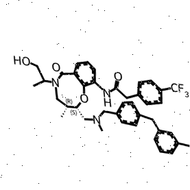 Cc1cccc(Cc2ccc(CN(C)C[C@H]3Oc4c(NC(=O)Cc5ccc(C(F)(F)F)cc5)cccc4C(=O)N(C(C)CO)C[C@H]3C)cc2)c1